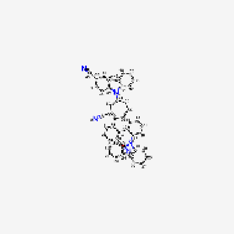 N#CC1=C(c2cccc(C#N)c2-c2ccccc2-n2c3ccccc3c3ccccc32)C=CCC(n2c3ccccc3c3cc(C#N)ccc32)=C1